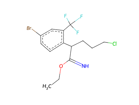 CCOC(=N)C(CCCCl)c1ccc(Br)cc1C(F)(F)F